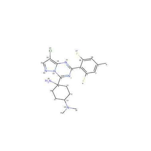 Cc1cc(F)c(-c2nc(C3(N)CCC(N(C)C)CC3)n3ncc(Cl)c3n2)c(F)c1